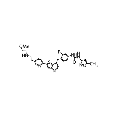 COCCNCCc1ccc(-c2cc3nccc(Cc4ccc(NC(=O)Nc5cc(C)on5)cc4F)c3s2)nc1